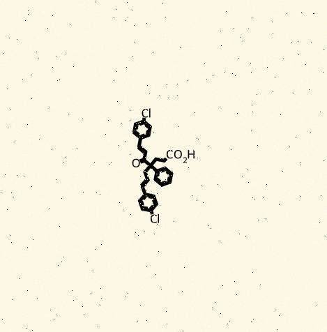 O=C(O)CCC(C/C=C/c1ccc(Cl)cc1)(C(=O)C=Cc1ccc(Cl)cc1)c1ccccc1